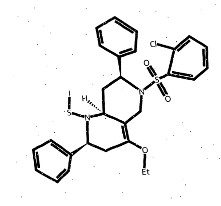 CCOC1=C2CN(S(=O)(=O)c3ccccc3Cl)[C@H](c3ccccc3)C[C@@H]2N(SI)[C@H](c2ccccc2)C1